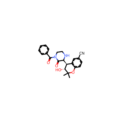 CC1(C)Oc2ccc(C#N)cc2[C@H](C2NCCN(C(=O)c3ccccc3)C2=O)[C@H]1O